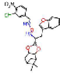 CC1(C)C2CC3OB(C(Cc4coc5ccccc45)NONCc4ccc([N+](=O)[O-])c(Cl)c4)OC3C1C2